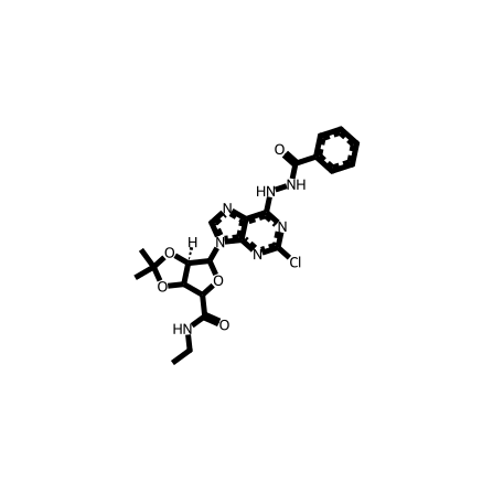 CCNC(=O)C1OC(n2cnc3c(NNC(=O)c4ccccc4)nc(Cl)nc32)[C@@H]2OC(C)(C)OC12